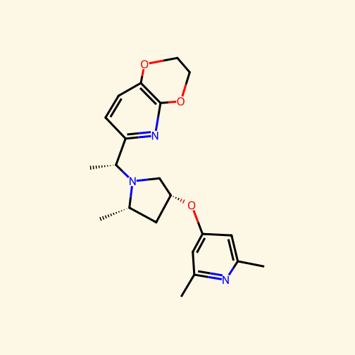 Cc1cc(O[C@@H]2C[C@H](C)N([C@H](C)c3ccc4c(n3)OCCO4)C2)cc(C)n1